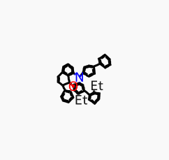 CCc1ccccc1-c1cc(N(c2ccc(-c3ccccc3)cc2)c2cccc3c2C2Oc4ccccc4C2C=C3)ccc1CC